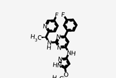 COc1cc(Nc2cc(-c3cccc(F)c3)nc(N[C@@H](C)c3ccc(F)cn3)n2)n[nH]1